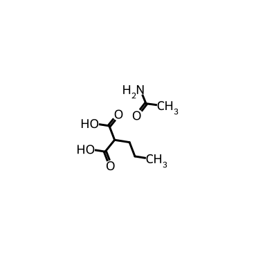 CC(N)=O.CCCC(C(=O)O)C(=O)O